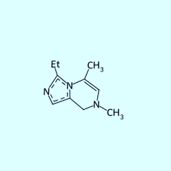 CCc1ncc2n1C(C)=CN(C)C2